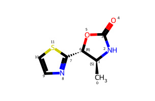 C[C@@H]1NC(=O)O[C@H]1c1nccs1